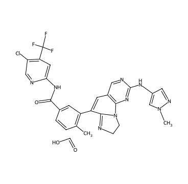 Cc1ccc(C(=O)Nc2cc(C(F)(F)F)c(Cl)cn2)cc1C1=Cc2cnc(Nc3cnn(C)c3)nc2N2CCN=C12.O=CO